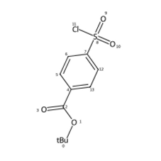 CC(C)(C)OC(=O)c1ccc(S(=O)(=O)Cl)cc1